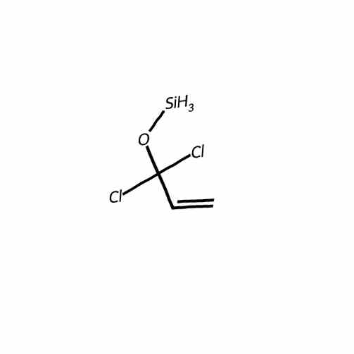 C=CC(Cl)(Cl)O[SiH3]